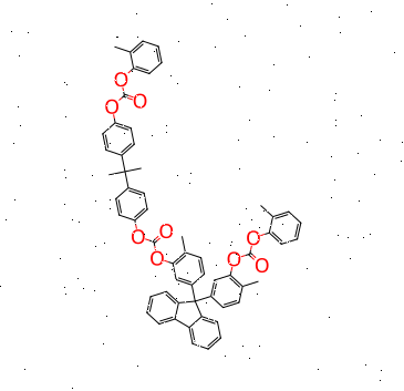 Cc1ccccc1OC(=O)Oc1ccc(C(C)(C)c2ccc(OC(=O)Oc3cc(C4(c5ccc(C)c(OC(=O)Oc6ccccc6C)c5)c5ccccc5-c5ccccc54)ccc3C)cc2)cc1